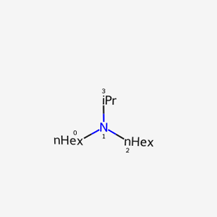 CCCCCCN(CCCCCC)C(C)C